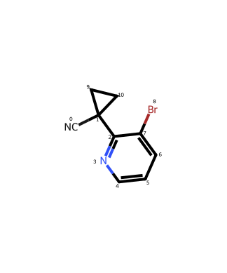 N#CC1(c2ncccc2Br)CC1